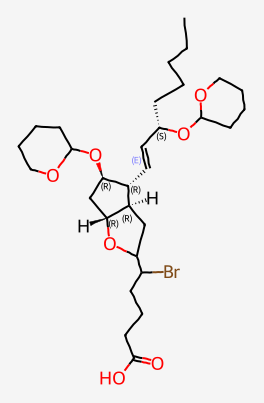 CCCCC[C@@H](/C=C/[C@@H]1[C@H]2CC(C(Br)CCCC(=O)O)O[C@@H]2C[C@H]1OC1CCCCO1)OC1CCCCO1